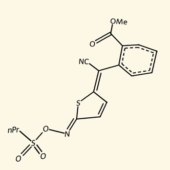 CCCS(=O)(=O)ON=C1C=CC(=C(C#N)c2ccccc2C(=O)OC)S1